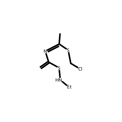 C=C(/N=C(/C)SCCl)SNCC